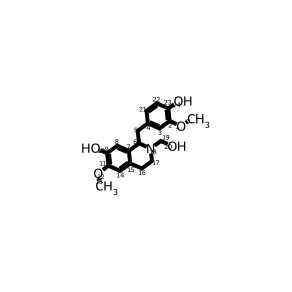 COc1cc(CC2c3cc(O)c(OC)cc3CCN2CO)ccc1O